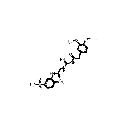 COc1ccc(CC(=O)NC(=N)NCC(=O)Nc2cc(S(N)(=O)=O)ccc2C)cc1OC